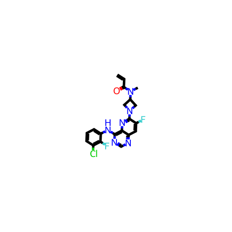 C=CC(=O)N(C)C1CN(c2nc3c(Nc4cccc(Cl)c4F)ncnc3cc2F)C1